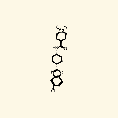 O=C(N[C@H]1CC[C@@H](c2nc3cc(Cl)ccc3o2)CC1)C1CCS(=O)(=O)CC1